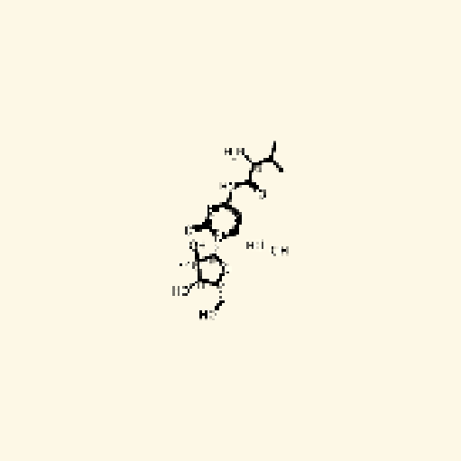 CC(C)[C@H](N)C(=O)Nc1ccn([C@@H]2O[C@H](CO)[C@@H](O)[C@@]2(C)O)c(=O)n1.Cl.Cl